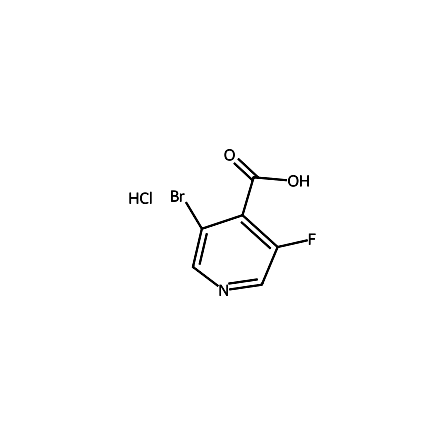 Cl.O=C(O)c1c(F)cncc1Br